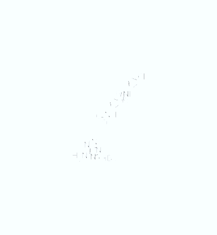 CC(C)COc1nc(N)c2ncn(CCCCOC(=O)NCc3ccc(S(=O)(=O)NCc4ccc(Cl)cc4)cc3)c2n1